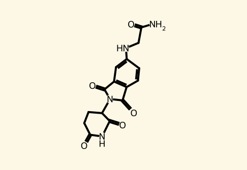 NC(=O)CNc1ccc2c(c1)C(=O)N(C1CCC(=O)NC1=O)C2=O